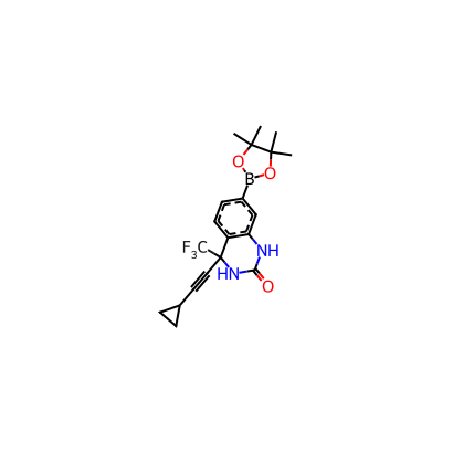 CC1(C)OB(c2ccc3c(c2)NC(=O)NC3(C#CC2CC2)C(F)(F)F)OC1(C)C